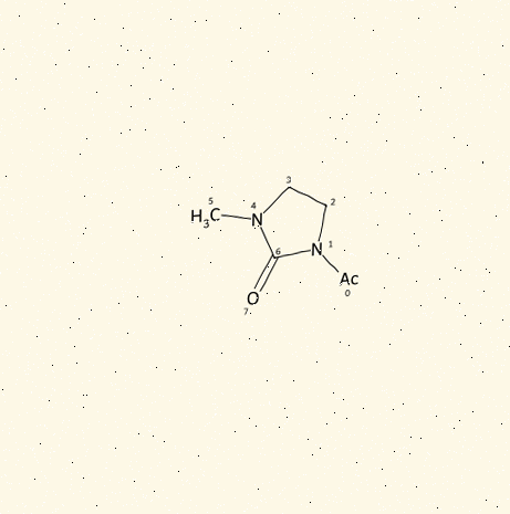 [CH2]C(=O)N1CCN(C)C1=O